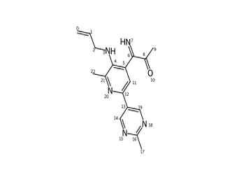 C=CCNc1c(C(=N)C(C)=O)cc(-c2cnc(C)nc2)nc1C